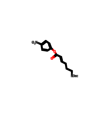 CCCCCCCCCCCCCC=CC(=O)Oc1ccc([N+](=O)[O-])cc1